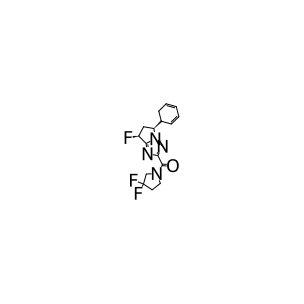 O=C(c1nc2n(n1)[C@H](C1C=CC=CC1)C[C@@H]2F)N1CCC(F)(F)C1